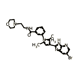 Cc1cc(-c2nc3cc(Br)cnc3[nH]2)c(C)n1-c1cccc(C(=O)NCCN2CCOCC2)c1